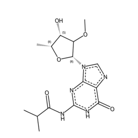 COC1[C@@H](O)[C@@H](C)O[C@H]1n1cnc2c(=O)[nH]c(NC(=O)C(C)C)nc21